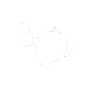 CCCCC1=C(c2ccccc2)C2=NC1=CC1=NC(=CC3=NC(=CC4=NC(=C2)C=C4)C=C3)C=C1